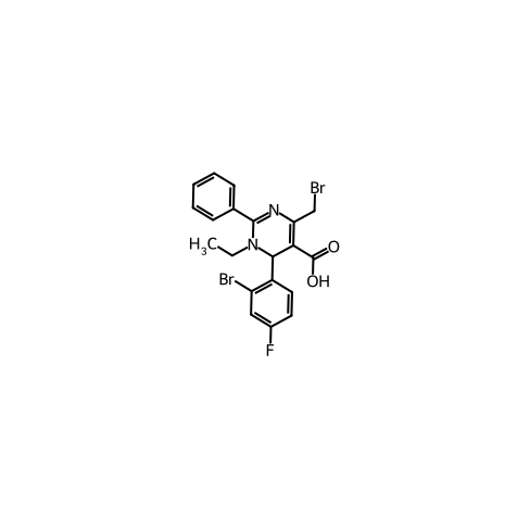 CCN1C(c2ccccc2)=NC(CBr)=C(C(=O)O)C1c1ccc(F)cc1Br